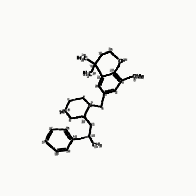 COc1cc(CN2CCNCC2CC(C)c2ccccc2)cc2c1OCCC2(C)C